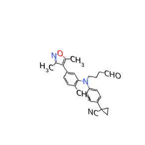 Cc1ccc(-c2c(C)noc2C)cc1N(CCCC=O)c1ccc(C2(C#N)CC2)cc1